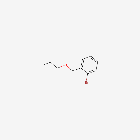 CCCOCc1ccccc1Br